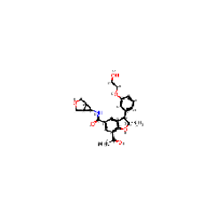 CNC(=O)c1cc(C(=O)NC2C3COCC32)cc2c1O[C@@H](C)C2c1cccc(OCCO)c1